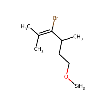 CC(C)=C(Br)C(C)CCO[SiH3]